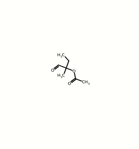 CCC(C)([C]=O)OC(C)=O